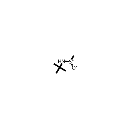 C[S+]([O-])NC(C)(C)C